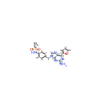 CS(=O)(=O)Nc1ccc(Cn2cnc3c(-c4ccco4)nc(N)nc32)cc1